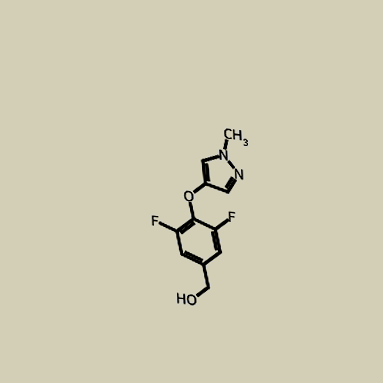 Cn1cc(Oc2c(F)cc(CO)cc2F)cn1